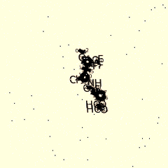 CC(C)Oc1cc(OC(F)(F)F)cc(C(C)(C)c2cc(Cl)cc(NC(=O)c3cc4cc(OP(=O)(O)O)ccc4s3)c2)c1